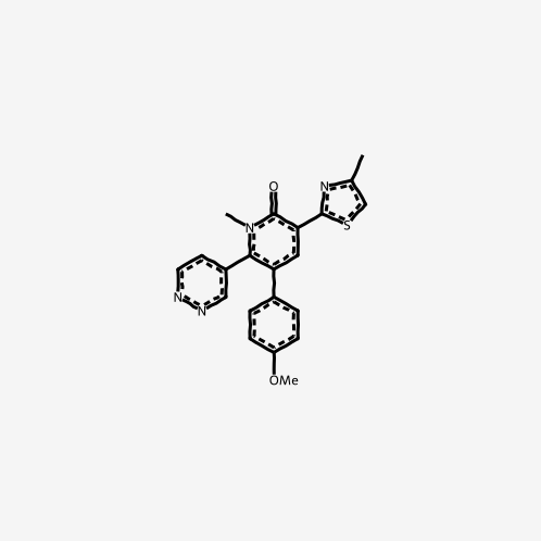 COc1ccc(-c2cc(-c3nc(C)cs3)c(=O)n(C)c2-c2ccnnc2)cc1